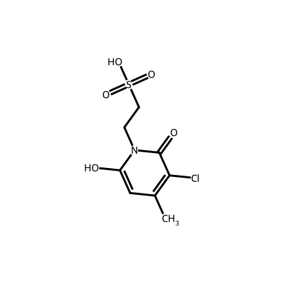 Cc1cc(O)n(CCS(=O)(=O)O)c(=O)c1Cl